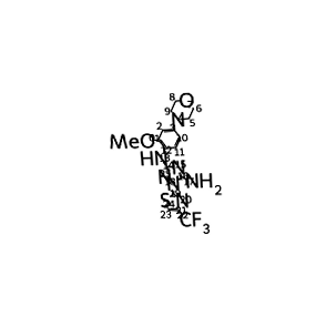 COc1cc(N2CCOCC2)ccc1Nc1nc(N)n(-c2nc(C(F)(F)F)cs2)n1